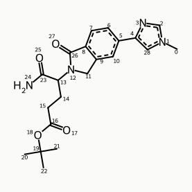 Cn1cnc(-c2ccc3c(c2)CN(C(CCC(=O)OC(C)(C)C)C(N)=O)C3=O)c1